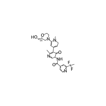 CC1=C(C2=CCN(C)C(N3CCO[C@H](CO)C3)=C2)C(=O)C(NC(=O)c2ccnc(C(C)(F)F)c2)C=N1